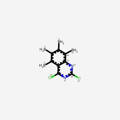 Bc1c(B)c(B)c2c(Cl)nc(Cl)nc2c1B